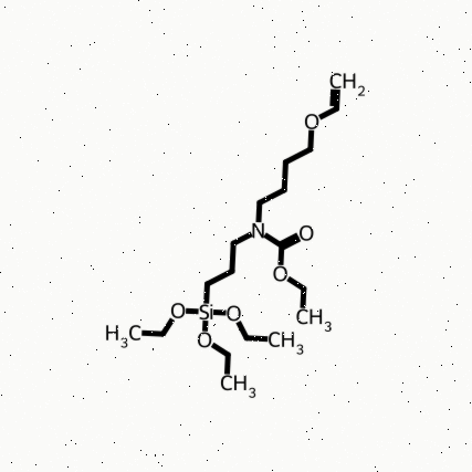 C=COCCCCN(CCC[Si](OCC)(OCC)OCC)C(=O)OCC